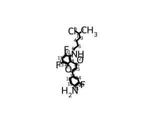 CC(Cl)CCCCNc1c(F)cc(F)c2oc(-c3ccc(N)c(F)c3)cc(=O)c12